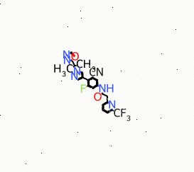 CC(C)(c1nnco1)n1cc(-c2c(F)cc(NC(=O)Cc3cccc(C(F)(F)F)n3)cc2C#N)cn1